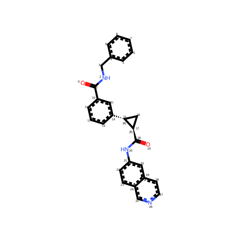 O=C(NCc1ccccc1)c1cccc([C@@H]2C[C@H]2C(=O)Nc2ccc3cnccc3c2)c1